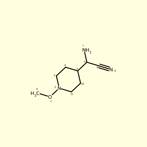 CON1CCC(C(N)C#N)CC1